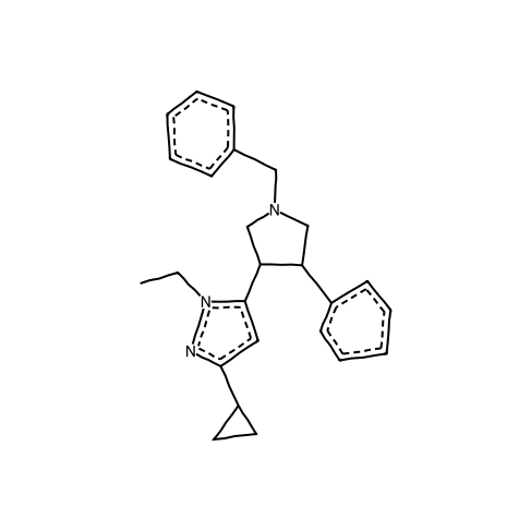 CCn1nc(C2CC2)cc1C1CN(Cc2ccccc2)CC1c1ccccc1